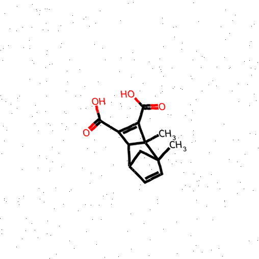 CC12C=CC(C1)C1C(C(=O)O)=C(C(=O)O)C12C